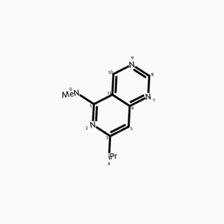 CNc1nc(C(C)C)cc2ncncc12